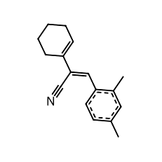 Cc1ccc(/C=C(\C#N)C2=CCCCC2)c(C)c1